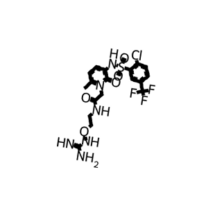 Cc1ccc(NS(=O)(=O)c2cc(C(F)(F)F)ccc2Cl)c(=O)n1CC(=O)NCCONC(=N)N